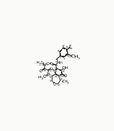 Cc1cc(CNC(=O)c2nc3n(c(=O)c2O)[C@H](C)COC[C@@H]3N(C)C(=O)C(=O)N(C)C)ccc1F